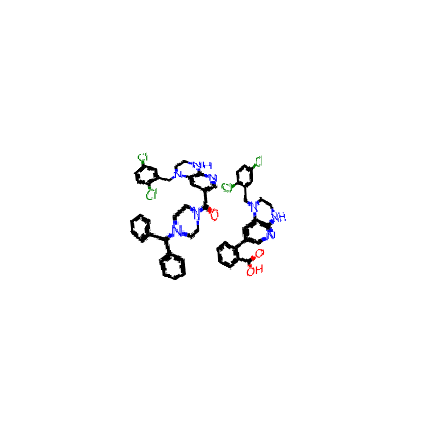 O=C(O)c1ccccc1-c1cnc2c(c1)N(Cc1cc(Cl)ccc1Cl)CCN2.O=C(c1cnc2c(c1)N(Cc1cc(Cl)ccc1Cl)CCN2)N1CCN(C(c2ccccc2)c2ccccc2)CC1